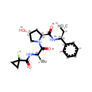 CC(C)(C)[C@@H](NC(=O)C1(F)CC1)C(=O)N1C[C@H](O)C[C@H]1C(=O)N[C@@H](CC(=O)O)c1ccccc1